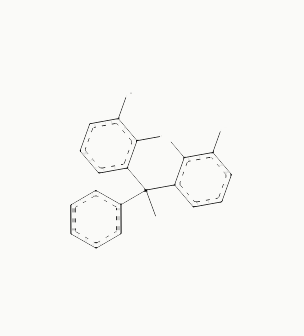 CC1(c2ccccc2)c2cccc(S)c2Oc2c(S)cccc21